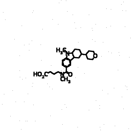 CN(CCCC(=O)O)C(=O)c1ccc2c(c1)C1CC(C3CCOCC3)CCC1N2C